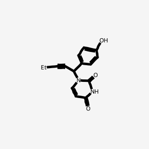 CCC#CC(c1ccc(O)cc1)n1ccc(=O)[nH]c1=O